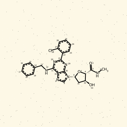 CNC(=O)[C@H]1O[C@@H](n2cnc3c(NCc4ccccc4)nc(-c4ccccc4Cl)nc32)C[C@@H]1O